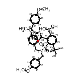 COc1ccc(CN(Cc2ccc(OC)cc2)S(=O)(=O)c2c(C(F)(F)F)ccc(B(O)O)c2-c2nnn(Cc3ccc(OC)cc3)n2)cc1